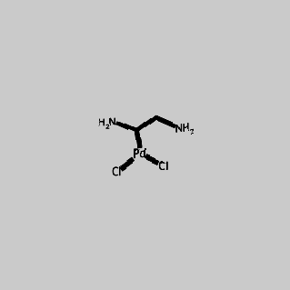 NC[CH](N)[Pd]([Cl])[Cl]